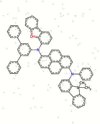 C[Si]1(C)c2ccccc2-c2cccc(N(c3ccccc3)c3ccc4ccc5c(N(c6cc(-c7ccccc7)cc(-c7ccccc7)c6)c6cccc7c6oc6ccccc67)ccc6ccc3c4c65)c21